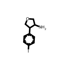 NC1COCC1c1ccc(I)cc1